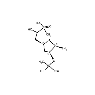 B[C@@H]1O[C@H](CC(O)P(C)(C)=O)C[C@@H]1O[Si](C)(C)C(C)(C)C